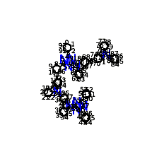 c1ccc(-c2nc(-c3cccc(-c4ccc5c(c4)c4ccccc4n5-c4ccc5c(c4)c4ccccc4n5-c4nc(-c5ccccc5)nc(-c5ccccc5)n4)c3)nc(-n3c4ccccc4c4cc(-c5ccc6c(c5)c5ccccc5n6-c5ccccc5)ccc43)n2)cc1